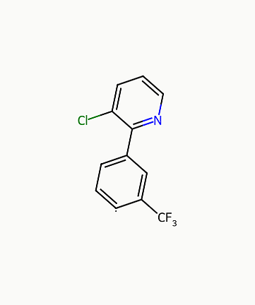 FC(F)(F)c1[c]ccc(-c2ncccc2Cl)c1